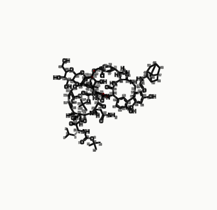 CC(C)C[C@@H](NC(=O)OC(C)(C)C)C(=O)N[C@H]1C(=O)N[C@@H](CC(N)=O)C(=O)N[C@H]2C(=O)N[C@H]3C(=O)N[C@H](C(=O)N[C@H](C(=O)NC4C5CC6CC(C5)CC4C6)c4cc(O)cc(O)c4-c4cc3ccc4O)[C@H](O)c3ccc(c(Cl)c3)Oc3cc2cc(c3OC2OC(CO)C(O)C(O)C2OC2CC(C)(NC(=O)OC(C)(C)C)C(O)C(C)O2)Oc2ccc(cc2Cl)[C@H]1O